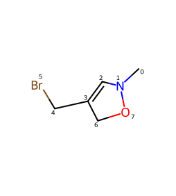 CN1C=C(CBr)CO1